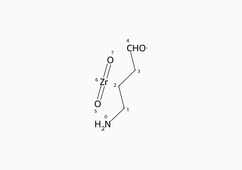 NCCC[C]=O.[O]=[Zr]=[O]